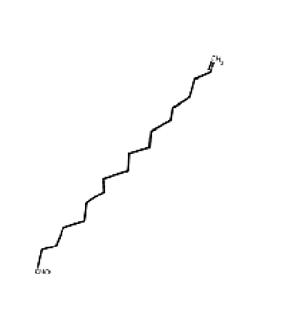 C=CCCCCCCCCCCCCCCCC=O